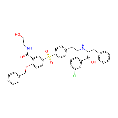 O=C(NCCO)c1cc(S(=O)(=O)c2ccc(CCNC(Cc3ccccc3)[C@H](O)c3cccc(Cl)c3)cc2)ccc1OCc1ccccc1